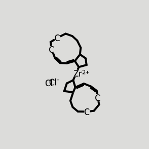 C1=CCCCCCCCC2CC[CH]([Zr+2][CH]3CCC4CCCCCCCC=CC=C43)C2=C1.[Cl-].[Cl-]